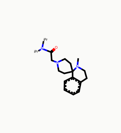 CC(C)N(C(=O)CN1CCC2(CC1)c1ccccc1CCN2C)C(C)C